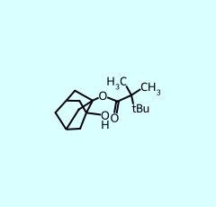 CC(C)(C)C(C)(C)C(=O)OC12CC3CC(CC1(O)C3)C2